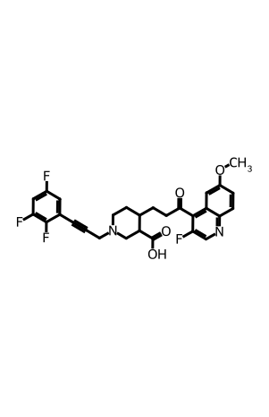 COc1ccc2ncc(F)c(C(=O)CCC3CCN(CC#Cc4cc(F)cc(F)c4F)CC3C(=O)O)c2c1